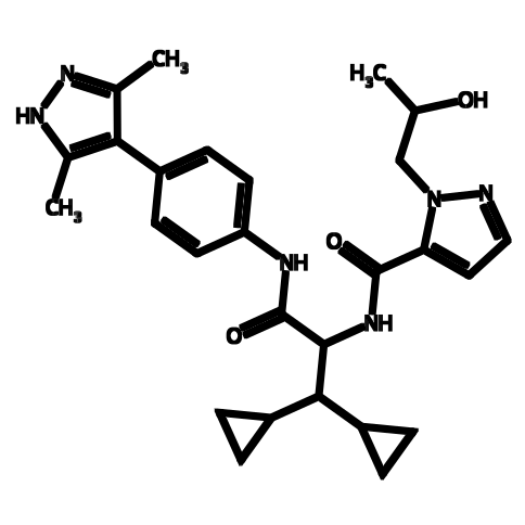 Cc1n[nH]c(C)c1-c1ccc(NC(=O)C(NC(=O)c2ccnn2CC(C)O)C(C2CC2)C2CC2)cc1